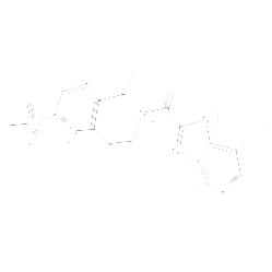 CC1c2ccc(S(C)(=O)=O)nc2CCN1C(=O)c1nc2cccc(Cl)c2[nH]1